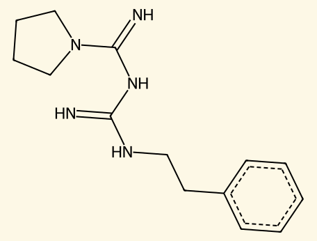 N=C(NCCc1ccccc1)NC(=N)N1CCCC1